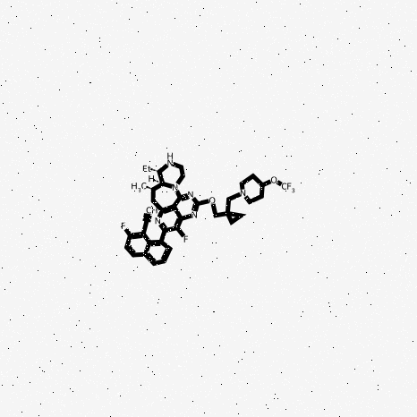 C#Cc1c(F)ccc2cccc(-c3nc4c5c(nc(OCC6(CN7CCC(OC(F)(F)F)CC7)CC6)nc5c3F)N3CCN[C@@H](CC)[C@@H]3[C@@H](C)C4)c12